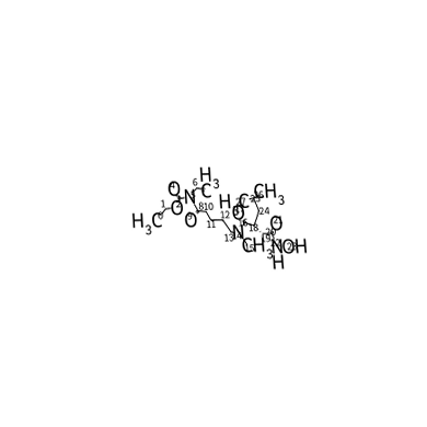 CCOC(=O)N(CC)C(=O)CCCCN(C)C(=O)[C@@H](CC(=O)NO)CC(C)C